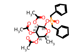 CC(=O)O[C@H]1[C@H](OC(C)=O)[C@@H](OP(=O)(Cc2ccccc2)Cc2ccccc2)O[C@@H](C)[C@H]1OC(C)=O